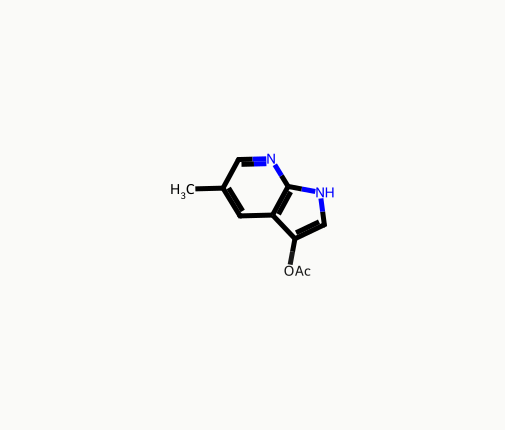 CC(=O)Oc1c[nH]c2ncc(C)cc12